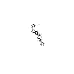 N[C@H]1CC[C@@H](NC2CCc3cc(-n4ccc(NC(=O)N5CCNCC5)nc4=O)ccc3C2)C1